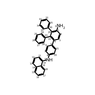 Nc1ccc(-c2ccc(Nc3cccc4ccccc34)cc2)c(-c2ccccc2)c1-c1ccccc1